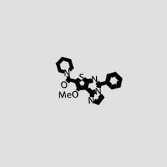 COc1c(C(=O)N2CCCCC2)sc2nc(-c3ccccc3)n3ccnc3c12